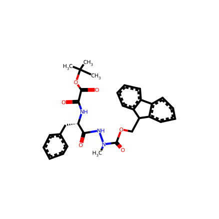 CN(NC(=O)[C@H](Cc1ccccc1)NC(=O)C(=O)OC(C)(C)C)C(=O)OCC1c2ccccc2-c2ccccc21